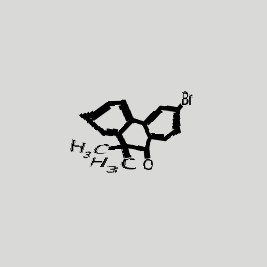 CC1(C)C(=O)c2ccc(Br)cc2-c2ccccc21